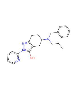 CCCN(Cc1ccccc1)C1CCc2nn(-c3ccccn3)c(O)c2C1